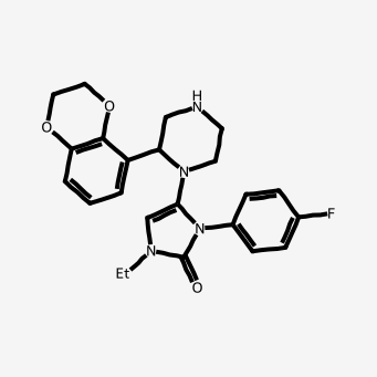 CCn1cc(N2CCNCC2c2cccc3c2OCCO3)n(-c2ccc(F)cc2)c1=O